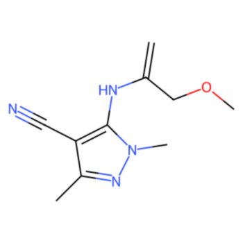 C=C(COC)Nc1c(C#N)c(C)nn1C